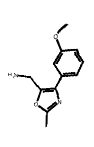 COc1cccc(-c2nc(C)oc2CN)c1